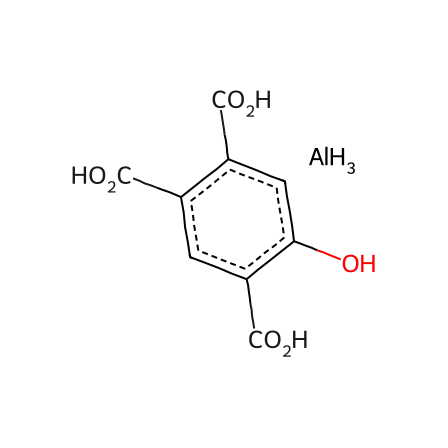 O=C(O)c1cc(C(=O)O)c(C(=O)O)cc1O.[AlH3]